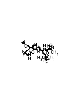 Cc1nonc1C(=O)NC(CCC(C)(C)C(F)(F)F)c1cn2ncc(C(COC3CC3)N3CC(F)(F)CNC3=O)cc2n1